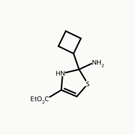 CCOC(=O)C1=CSC(N)(C2CCC2)N1